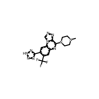 CN1CCN(c2nc3cc(C(F)(F)F)c(-c4nn[nH]n4)cc3n3cnnc23)CC1